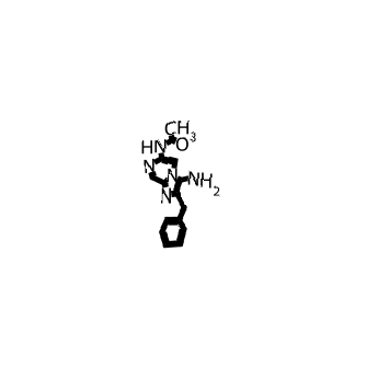 CC(=O)Nc1cn2c(N)c(Cc3ccccc3)nc2cn1